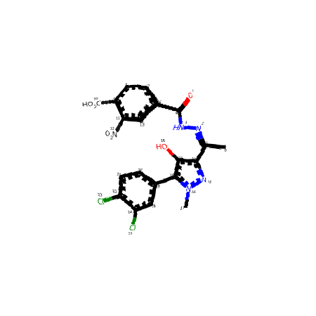 CC(=NNC(=O)c1ccc(C(=O)O)c([N+](=O)[O-])c1)c1nn(C)c(-c2ccc(Cl)c(Cl)c2)c1O